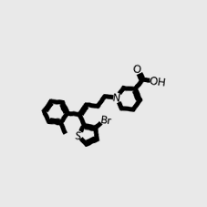 Cc1ccccc1C(=CCCN1CCC=C(C(=O)O)C1)c1sccc1Br